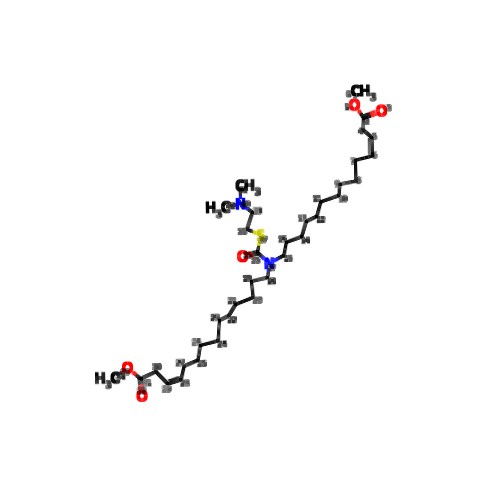 COC(=O)C/C=C\CCCCCCCCCCN(CCCCCCCCCC/C=C\CC(=O)OC)C(=O)SCCN(C)C